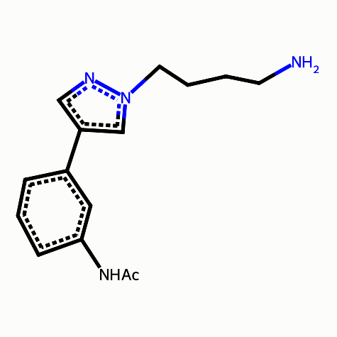 CC(=O)Nc1cccc(-c2cnn(CCCCN)c2)c1